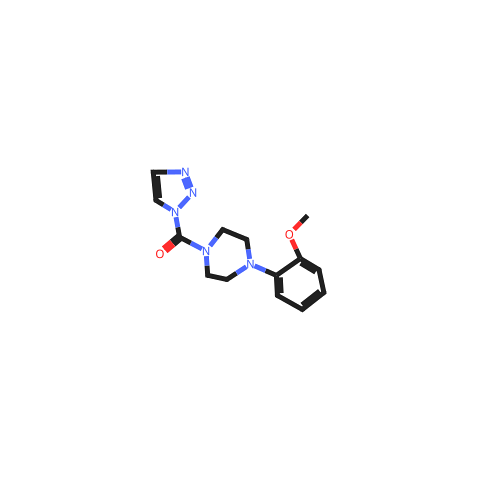 COc1ccccc1N1CCN(C(=O)n2ccnn2)CC1